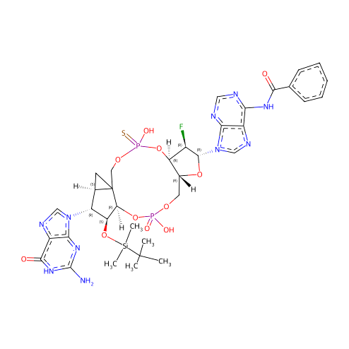 CC(C)(C)[Si](C)(C)O[C@H]1[C@H](n2cnc3c(=O)[nH]c(N)nc32)[C@H]2CC23COP(O)(=S)O[C@H]2[C@@H](F)[C@H](n4cnc5c(NC(=O)c6ccccc6)ncnc54)O[C@@H]2COP(=O)(O)O[C@@H]13